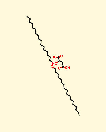 CCCCCCCCCCCCCCCCCCOCCCCCCCCCCCCCCCCCC.O=C(O)CC(O)C(=O)O